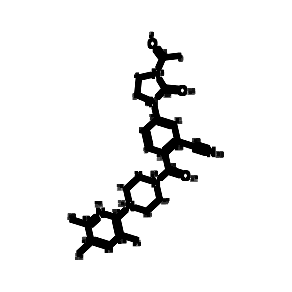 CC(=O)N1CCN(c2ccc(C(=O)N3CCN(c4nc(C)c(C)cc4C)CC3)c(C#N)c2)C1=O